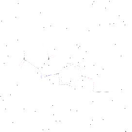 CCOc1ccc(NC(C(C)=O)C(=O)O)cc1